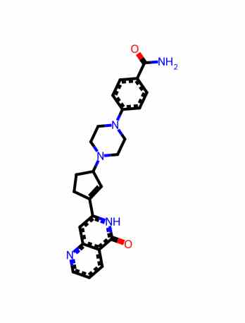 NC(=O)c1ccc(N2CCN(C3C=C(c4cc5ncccc5c(=O)[nH]4)CC3)CC2)cc1